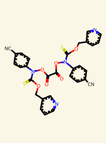 N#Cc1ccc(N(OC(=O)C(=O)ON(C(=S)OCc2cccnc2)c2ccc(C#N)cc2)C(=S)OCc2cccnc2)cc1